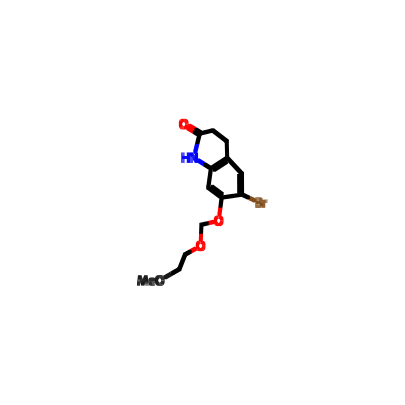 COCCOCOc1cc2c(cc1Br)CCC(=O)N2